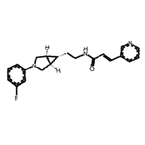 O=C(/C=C/c1cccnc1)NCC[C@@H]1[C@H]2CN(c3cccc(F)c3)C[C@@H]12